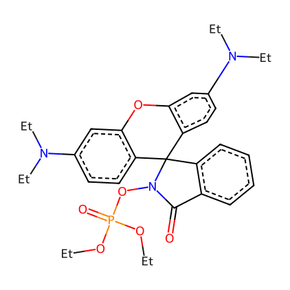 CCOP(=O)(OCC)ON1C(=O)c2ccccc2C12c1ccc(N(CC)CC)cc1Oc1cc(N(CC)CC)ccc12